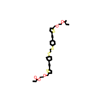 C=CC(=C)OCCOCc1ccc(C#Cc2ccc(SCCSc3ccc(C#Cc4ccc(COCCOC(=O)C=C)s4)cc3)cc2)s1